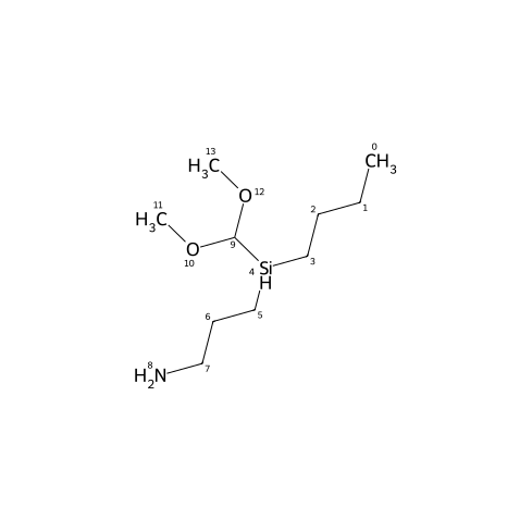 CCCC[SiH](CCCN)C(OC)OC